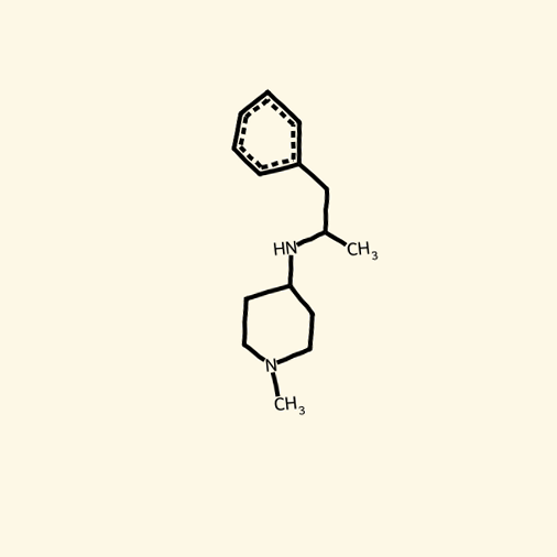 CC(Cc1ccccc1)NC1CCN(C)CC1